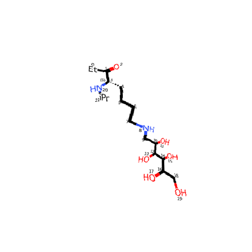 CCC(=O)[C@H](CCCCNCC(O)C(O)C(O)C(O)CO)NC(C)C